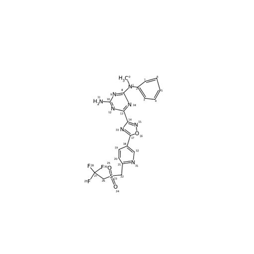 CN(c1ccccc1)c1nc(N)nc(-c2noc(-c3ccc(CS(=O)(=O)CC(F)(F)F)nc3)n2)n1